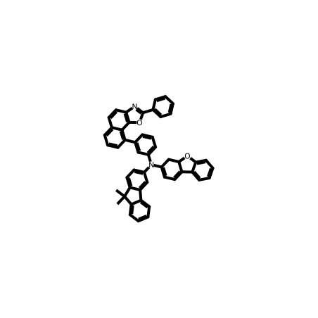 CC1(C)c2ccccc2-c2cc(N(C3=CC=C4c5ccccc5OC4C3)c3cccc(-c4cccc5ccc6nc(-c7ccccc7)oc6c45)c3)ccc21